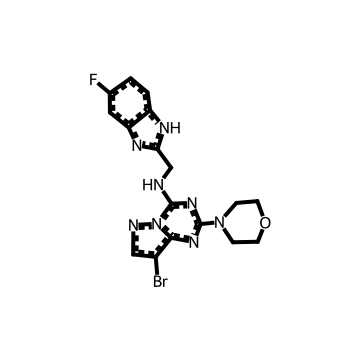 Fc1ccc2[nH]c(CNc3nc(N4CCOCC4)nc4c(Br)cnn34)nc2c1